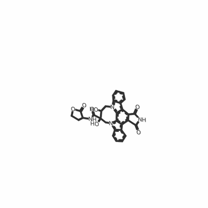 O=C1NC(=O)c2c1c1c3ccccc3n3c1c1c2c2ccccc2n1CC(O)(C(=O)NC1CCOC1=O)C(O)C3